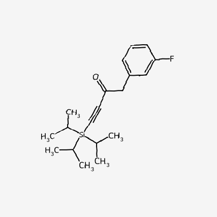 CC(C)[Si](C#CC(=O)Cc1cccc(F)c1)(C(C)C)C(C)C